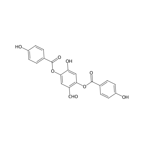 O=Cc1cc(OC(=O)c2ccc(O)cc2)c(O)cc1OC(=O)c1ccc(O)cc1